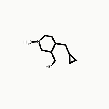 CN1CCC(CC2CC2)C(CO)C1